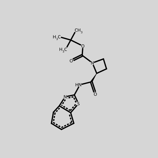 CC(C)(C)OC(=O)N1CC[C@H]1C(=O)Nc1nc2ccccc2s1